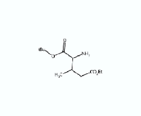 CCOC(=O)CC(C)C(N)C(=O)OC(C)(C)C